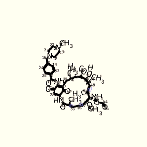 COC1C[C@H](C)CC2=C(NC(=O)c3ccc(CN4CCN(C)CC4)cc3)C(=O)C=C(NC(=O)/C(C)=C/C=C\[C@H](OC)[C@@H](NOC=O)/C(C)=C/[C@H](C)[C@H]1O)C2=O